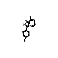 Cc1cccn2c(-c3ccc(F)cc3)nnc12